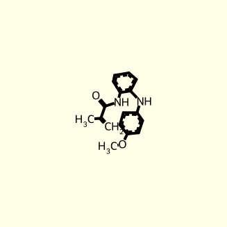 C=C(C)C(=O)Nc1ccccc1Nc1ccc(OC)cc1